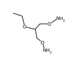 CCOC(CON)CON